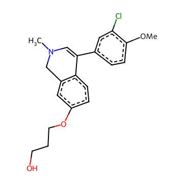 COc1ccc(C2=CN(C)Cc3cc(OCCCO)ccc32)cc1Cl